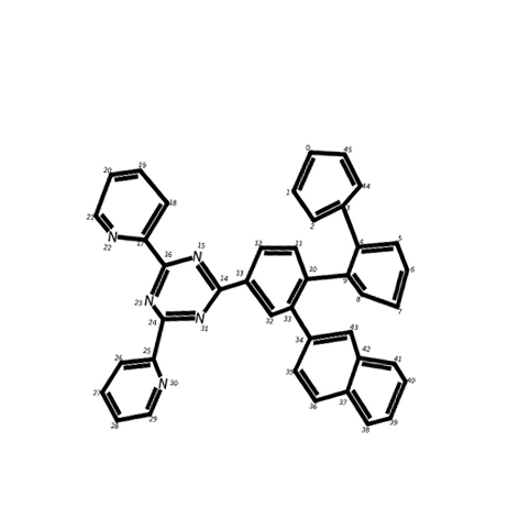 c1ccc(-c2ccccc2-c2ccc(-c3nc(-c4ccccn4)nc(-c4ccccn4)n3)cc2-c2ccc3ccccc3c2)cc1